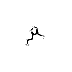 Cc1nonc1CCO